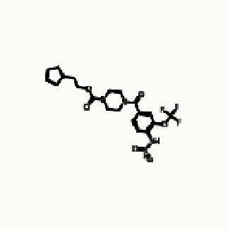 O=C(OCCC1CCCC1)N1CCN(C(=O)c2ccc(N[SH](=O)=O)c(OC(F)(F)F)c2)CC1